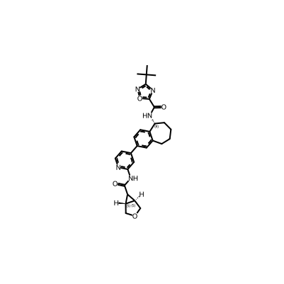 CC(C)(C)c1noc(C(=O)N[C@@H]2CCCCc3cc(-c4ccnc(NC(=O)C5[C@H]6COC[C@H]56)c4)ccc32)n1